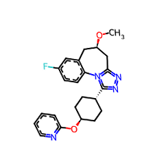 CO[C@@H]1Cc2cc(F)ccc2-n2c(nnc2[C@H]2CC[C@H](Oc3ccccn3)CC2)C1